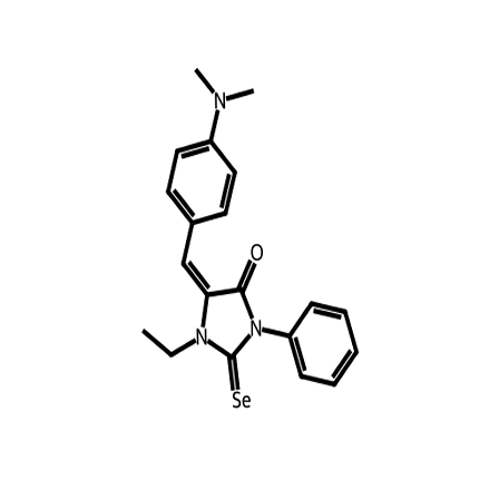 CCN1C(=[Se])N(c2ccccc2)C(=O)C1=Cc1ccc(N(C)C)cc1